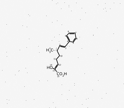 C[C@H](C=Cc1ccccc1)CCC=C(O)C(=O)O